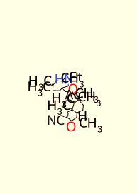 CCNC(=O)[C@]1(CCC(C)(C)[C@]2(C)CC[C@H]3[C@H](C)C(=O)C(C#N)=C[C@]3(C)/C2=C/C(C)=O)CCC(C)(C)CC1C